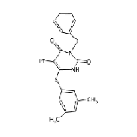 Cc1cc(C)cc(Sc2[nH]c(=O)n(Cc3ccccc3)c(=O)c2C(C)C)c1